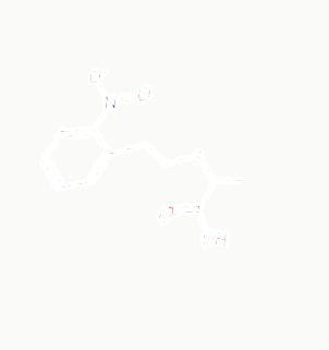 CC(SCCc1ccccc1[N+](=O)[O-])C(=O)O